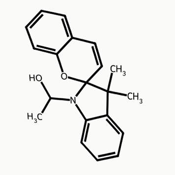 CC(O)N1c2ccccc2C(C)(C)C12C=Cc1ccccc1O2